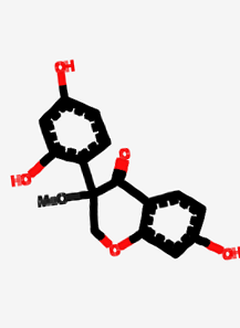 COC1(c2ccc(O)cc2O)COc2cc(O)ccc2C1=O